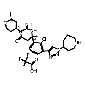 C[C@H]1C[C@@H](N2C(=N)N[C@](C)(c3cccc(-c4cn(C5CCCNCC5)nn4)c3Cl)CC2=O)CCO1.O=C(O)C(F)(F)F